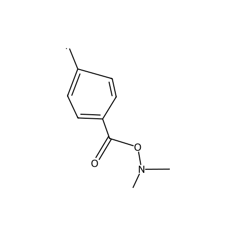 [CH2]c1ccc(C(=O)ON(C)C)cc1